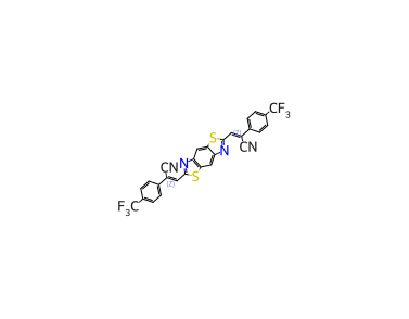 N#C/C(=C\c1nc2cc3sc(/C=C(\C#N)c4ccc(C(F)(F)F)cc4)nc3cc2s1)c1ccc(C(F)(F)F)cc1